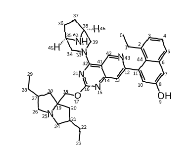 CCc1cccc2cc(O)cc(-c3cc4nc(OCC56CC(CC)CN5CC(CC)C6)nc(N5C[C@H]6CC[C@@H](C5)N6)c4cn3)c12